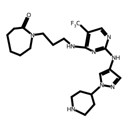 O=C1CCCCCN1CCCNc1nc(Nc2cnn(C3CCNCC3)c2)ncc1C(F)(F)F